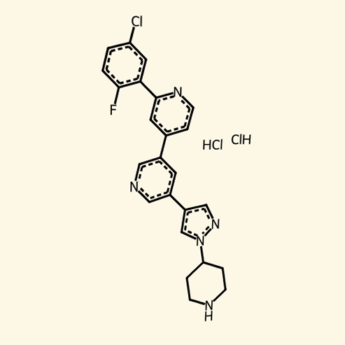 Cl.Cl.Fc1ccc(Cl)cc1-c1cc(-c2cncc(-c3cnn(C4CCNCC4)c3)c2)ccn1